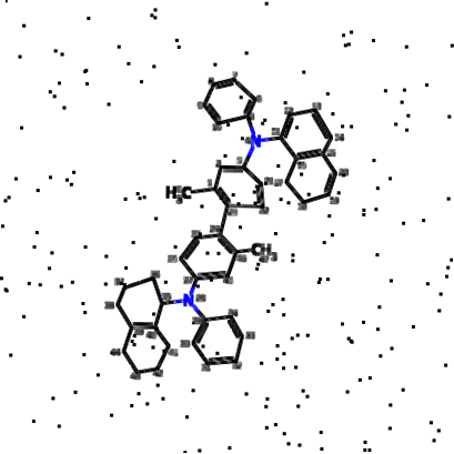 Cc1cc(N(c2ccccc2)c2cccc3c2CCC=C3)ccc1-c1ccc(N(c2ccccc2)C2CCCC3=C2CCCC3)cc1C